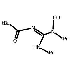 CC(C)N/C(=N\C(=O)C(C)(C)C)N(C(C)C)C(C)(C)C